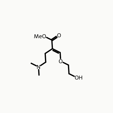 COC(=O)C(=COCCO)CCN(C)C